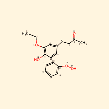 CCOc1cc(CCC(C)=O)ccc1O.OOc1ccccc1